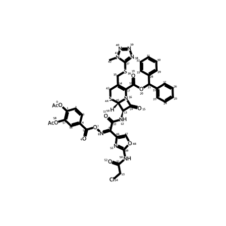 CC(=O)Oc1ccc(C(=O)O/N=C(\C(=O)N[C@@H]2C(=O)N3C(C(=O)OC(c4ccccc4)c4ccccc4)=C(CSc4nnnn4C)CS[C@@H]23)c2coc(NC(=O)CCl)n2)cc1OC(C)=O